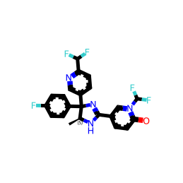 C[C@@H]1NC(c2ccc(=O)n(C(F)F)c2)=NC1(c1ccc(F)cc1)c1ccc(C(F)F)nc1